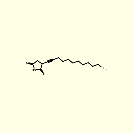 CCCCCCCCCCC#CC1CC(=O)NC1=O